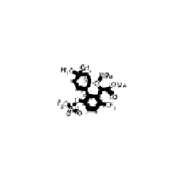 COC(=O)C(OC(C)(C)C)c1c(C(F)(F)F)ccc(OS(=O)(=O)C(F)(F)F)c1C1=CCC(C)(C)CC1